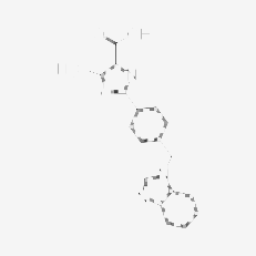 Cc1oc(-c2ccc(Cn3cnc4ccccc43)cc2)nc1C(=O)O